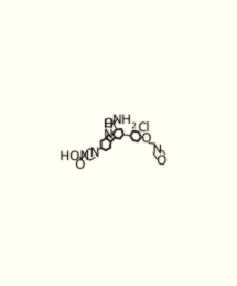 NC(=O)c1cc(-c2ccc(OCCN3CCOCC3)c(Cl)c2)cc2c1[nH]c1cc(N3CCN(C(=O)O)CC3)ccc12